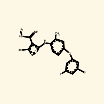 Cc1cc(Oc2cc(F)cc(F)c2)ccc1Nc1snc(O)c1C(=N)NC(C)C